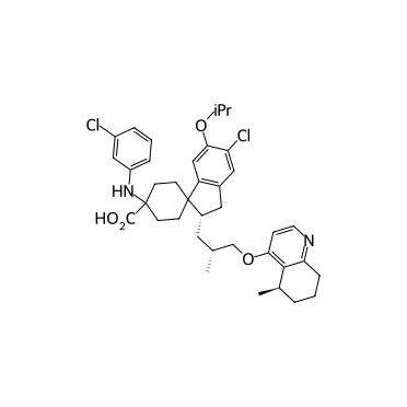 CC(C)Oc1cc2c(cc1Cl)C[C@H](C[C@@H](C)COc1ccnc3c1[C@H](C)CCC3)C21CCC(Nc2cccc(Cl)c2)(C(=O)O)CC1